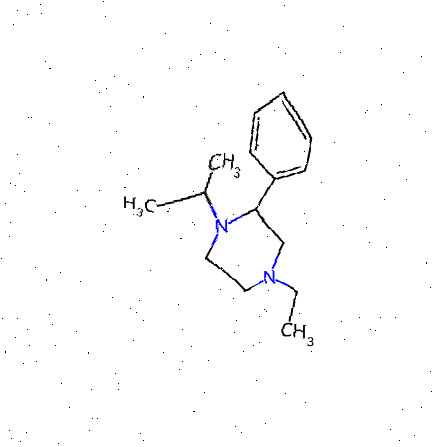 CCN1CCN(C(C)C)C(c2ccccc2)C1